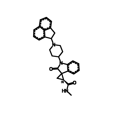 CNC(=O)[C@H]1CC12C(=O)N(C1CCN(C3Cc4cccc5cccc3c45)CC1)c1ccccc12